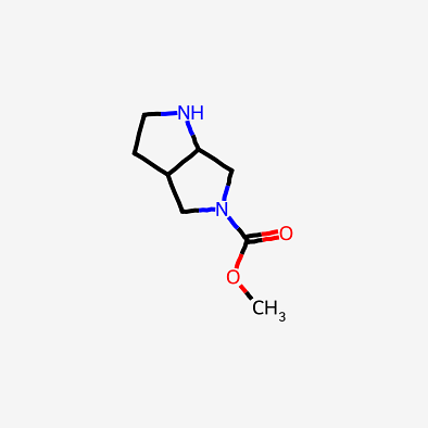 COC(=O)N1CC2CCNC2C1